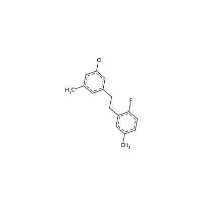 Cc1cc(Cl)cc(CCc2cc(C)ccc2F)c1